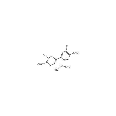 CC(C)(C)OC=O.CC1CN(c2ccc(C=O)c(F)c2)CCN1C=O